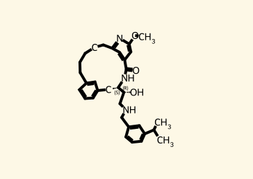 COc1cc2cc(n1)CCCCCc1cccc(c1)C[C@@H]([C@H](O)CNCc1cccc(C(C)C)c1)NC2=O